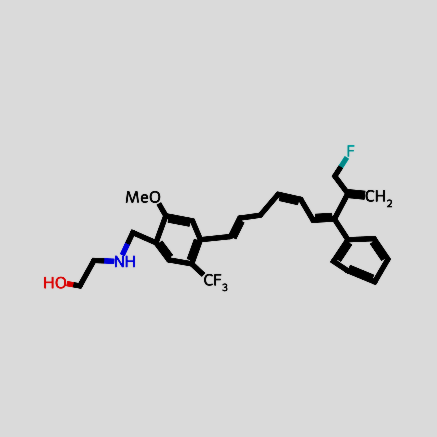 C=C(CF)/C(=C\C=C/C/C=C/c1cc(OC)c(CNCCO)cc1C(F)(F)F)c1ccccc1